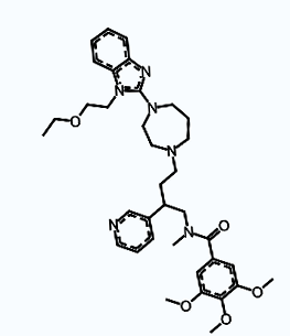 CCOCCn1c(N2CCCN(CCC(CN(C)C(=O)c3cc(OC)c(OC)c(OC)c3)c3cccnc3)CC2)nc2ccccc21